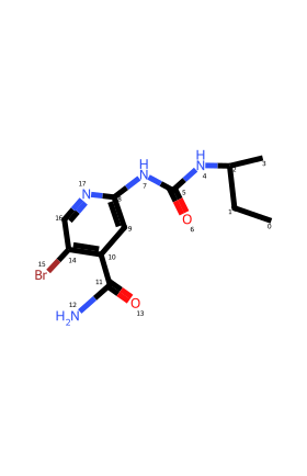 CCC(C)NC(=O)Nc1cc(C(N)=O)c(Br)cn1